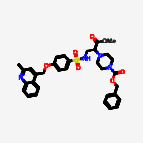 COC(=O)[C@H](CNS(=O)(=O)c1ccc(OCc2cc(C)nc3ccccc23)cc1)N1CCN(C(=O)OCc2ccccc2)CC1